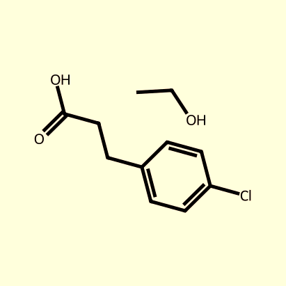 CCO.O=C(O)CCc1ccc(Cl)cc1